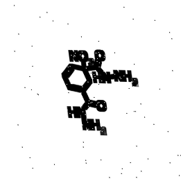 NNC(=O)C1=CC=CC(C(=O)NN)([N+](=O)[O-])C1